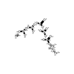 O=[Si]([O-])[O-].O=[Si]([O-])[O-].O=[Si]([O-])[O-].O=[Si]([O-])[O-].O=[Si]([O-])[O-].[Al].[Al].[Fe+3].[Fe+3].[Mg+2].[Mg+2]